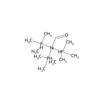 C[PH](C)(C)[Ni]([CH]=O)([PH](C)(C)C)[PH](C)(C)C